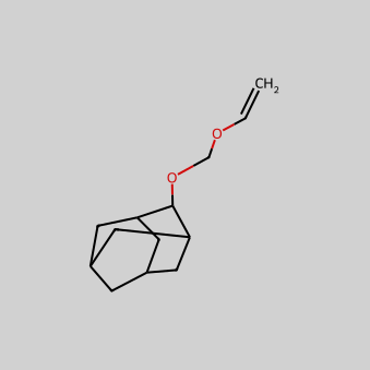 C=COCOC1C2CC3CC(C2)CC1C3